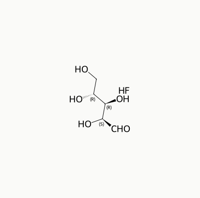 F.O=C[C@@H](O)[C@H](O)[C@H](O)CO